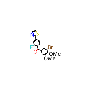 COc1cc(C(=O)c2ccc(-c3nccs3)cc2F)cc(Br)c1OC